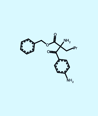 CC(C)CC(N)(C(=O)OCc1ccccc1)C(=O)c1ccc(N)cc1